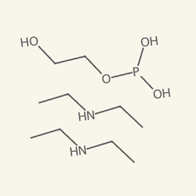 CCNCC.CCNCC.OCCOP(O)O